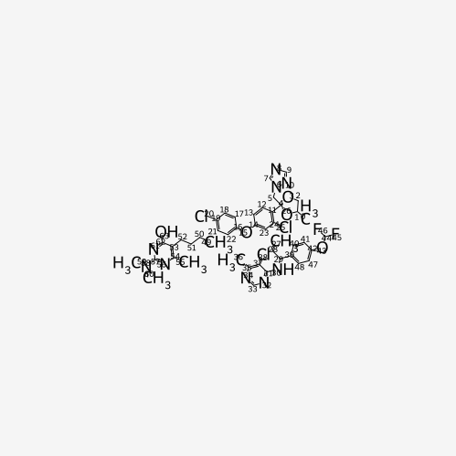 CC1COC(Cn2cncn2)(c2ccc(Oc3ccc(Cl)cc3)cc2Cl)O1.CCC(Nc1ncnc(C)c1Cl)c1ccc(OC(F)F)cc1.CCCCc1c(C)nc(N(C)C)nc1O